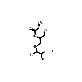 CCC(NCC(CC(C)C)NC(=O)OC(C)(C)C)C(O)C(=O)O